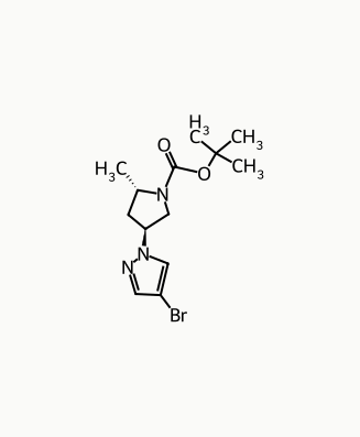 C[C@H]1C[C@H](n2cc(Br)cn2)CN1C(=O)OC(C)(C)C